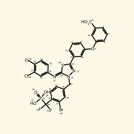 O=C(O)c1cccc(Oc2cccc(-c3nn(Cc4ccc(C(F)(F)P(=O)(O)O)c(Br)c4)c(=Nc4ccc(Cl)c(Cl)c4)s3)c2)c1